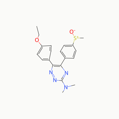 CCOc1ccc(-c2nnc(N(C)C)nc2-c2ccc([S+](C)[O-])cc2)cc1